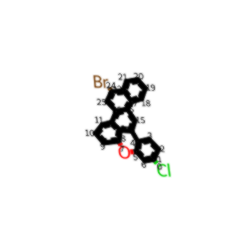 Clc1ccc2c(c1)Oc1cccc3c1c-2cc1c2ccccc2c(Br)cc31